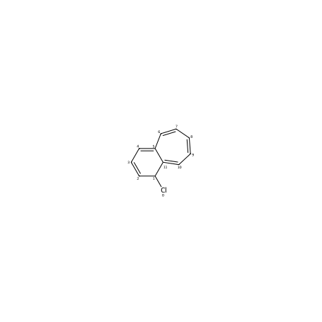 ClC1C=CC=C2C=CC=CC=C21